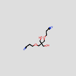 N#CCCOCC(CO)(CO)COCCC#N